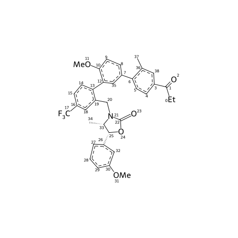 CCC(=O)c1ccc(-c2ccc(OC)c(-c3ccc(C(F)(F)F)cc3CN3C(=O)O[C@H](c4cccc(OC)c4)[C@@H]3C)c2)c(C)c1